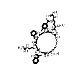 CC(=O)N[C@@H](CCCNC(=N)N)C(=O)N[C@H]1CC(=O)NCCCCC[C@@H](C(=O)O)NC(=O)[C@H](Cc2c[nH]c3ccccc23)NC(=O)[C@H](CCCNC(=N)N)NC(=O)[C@@H](Cc2ccccc2)NC(=O)[C@H](Cc2ccc(C(N)=O)cc2)NC1=O